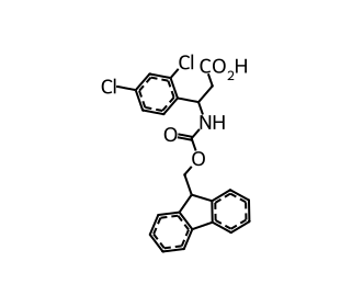 O=C(O)CC(NC(=O)OCC1c2ccccc2-c2ccccc21)c1ccc(Cl)cc1Cl